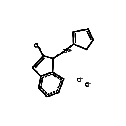 ClC1=Cc2ccccc2[CH]1[Zr+2][C]1=CC=CC1.[Cl-].[Cl-]